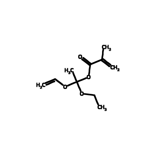 C=COC(C)(OCC)OC(=O)C(=C)C